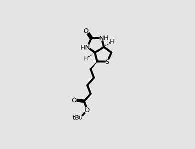 CC(C)(C)OC(=O)CCCC[C@@H]1SC[C@@H]2NC(=O)N[C@@H]21